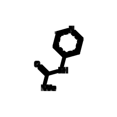 CNC(=O)Nc1c[c]ncc1